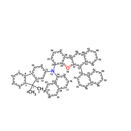 CC1(C)c2ccccc2-c2ccc(N(c3cccc4ccccc34)c3cccc4c3oc3c(-c5cccc6ccccc56)c5ccccc5cc34)cc21